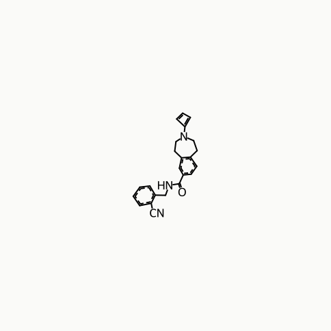 N#Cc1ccccc1CNC(=O)c1ccc2c(c1)CCN(C1=CC=C1)CC2